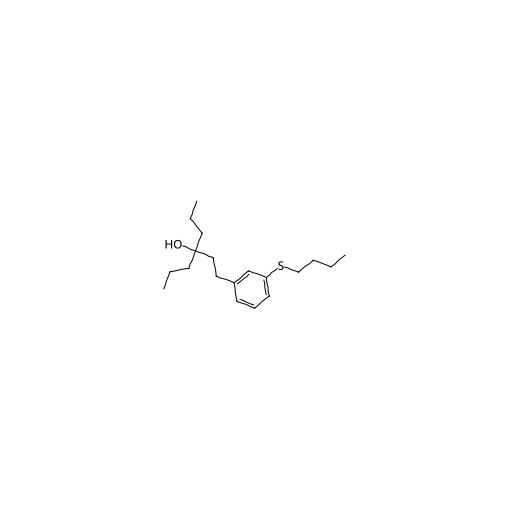 CCCCSc1cccc(CCC(O)(CCC)CCC)c1